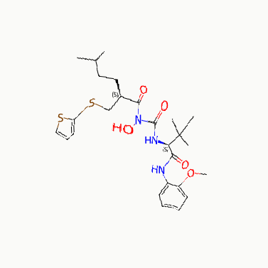 COc1ccccc1NC(=O)[C@@H](NC(=O)N(O)C(=O)[C@H](CCC(C)C)CSc1cccs1)C(C)(C)C